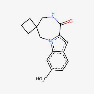 O=C(O)c1ccc2cc3n(c2c1)CC1(CCC1)CNC3=O